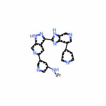 CC(C)Nc1cncc(-c2cc3c(-c4nc5c(-c6ccncc6)cncc5[nH]4)n[nH]c3cn2)c1